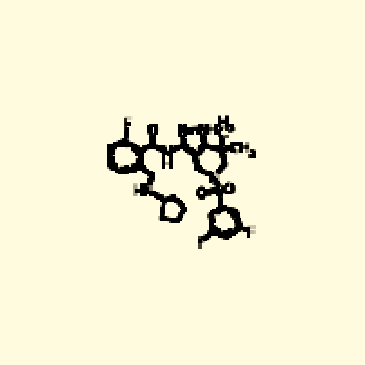 CC1(C)CN(S(=O)(=O)c2cc(F)cc(F)c2)Cc2c(NC(=O)c3c(F)cccc3CNC3CCCC3)n[nH]c21